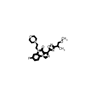 COCC(C)c1noc(-c2ncn3c2c(=O)n(CCN2CCOCC2)c2cc(F)ccc23)n1